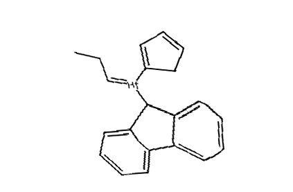 CC[CH]=[Hf]([C]1=CC=CC1)[CH]1c2ccccc2-c2ccccc21